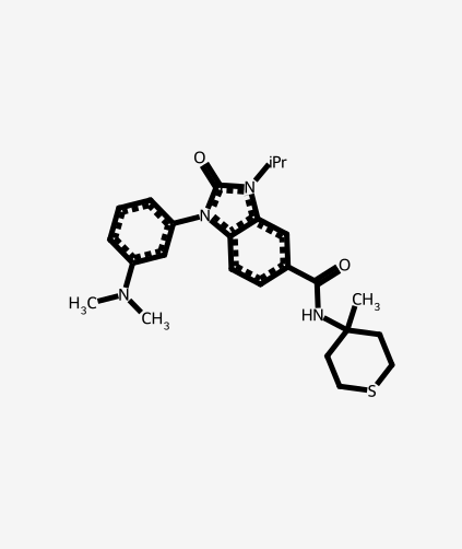 CC(C)n1c(=O)n(-c2cccc(N(C)C)c2)c2ccc(C(=O)NC3(C)CCSCC3)cc21